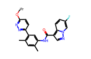 Cc1cc(C)c(-c2ccc(OC(C)C)nn2)cc1NC(=O)c1cnn2cc(F)ccc12